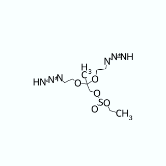 CCOS(=O)OCC(C)(OCCN=[N+]=N)OCCN=[N+]=N